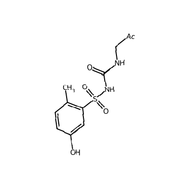 CC(=O)CNC(=O)NS(=O)(=O)c1cc(O)ccc1C